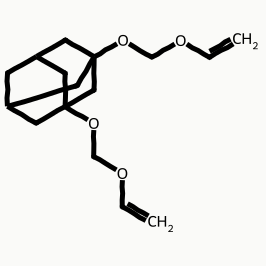 C=COCOC12CC3CC(C1)CC(OCOC=C)(C3)C2